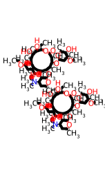 CCOC(=O)CCC(=O)O[C@H]1[C@H](O[C@@H]2[C@@H](C)[C@H](O[C@H]3C[C@@](C)(OC)[C@@H](O)[C@H](C)O3)[C@@H](C)C(=O)O[C@H](CC)[C@@](C)(O)[C@H](O)[C@@H](C)C(=O)[C@H](C)C[C@@]2(C)O)O[C@H](C)C[C@@H]1N(C)C.CCOC(=O)CCC(=O)O[C@H]1[C@H](O[C@@H]2[C@@H](C)[C@H](O[C@H]3C[C@@](C)(OC)[C@@H](O)[C@H](C)O3)[C@@H](C)C(=O)O[C@H](CC)[C@@](C)(O)[C@H](O)[C@@H](C)C(=O)[C@H](C)C[C@@]2(C)O)O[C@H](C)C[C@@H]1N(C)C